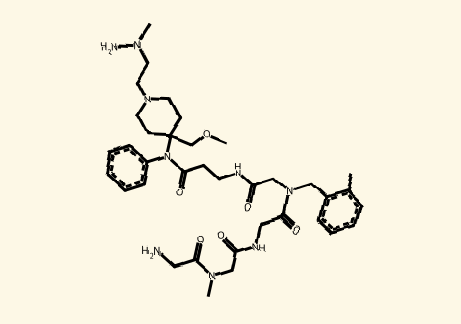 COCC1(N(C(=O)CCNC(=O)CN(Cc2ccccc2C)C(=O)CNC(=O)CN(C)C(=O)CN)c2ccccc2)CCN(CCN(C)N)CC1